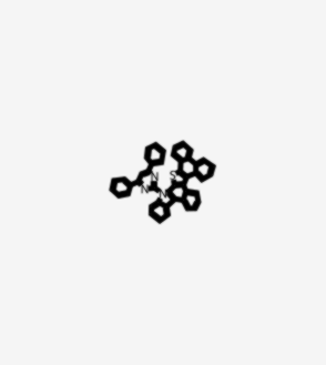 c1ccc(-c2cc(-c3ccccc3)nc(-n3c4ccccc4c4c5ccccc5c5c(sc6c7ccccc7c7ccccc7c65)c43)n2)cc1